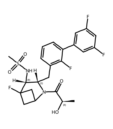 C[C@@H](O)C(=O)N1C2CC(F)(C2)[C@H](NS(C)(=O)=O)[C@@H]1Cc1cccc(-c2cc(F)cc(F)c2)c1F